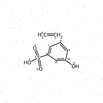 C=C.O=S(=O)(O)c1cccc(O)c1